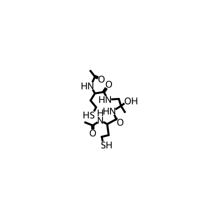 CC(=O)NC(CCS)C(=O)NCC(C)(O)NC(=O)C(CCS)NC(C)=O